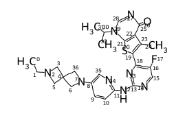 CCN1CC2(C1)CN(c1ccc(Nc3ncc(F)c(-c4sc5c(c4C)c(=O)ncn5C(C)C)n3)nc1)C2